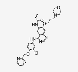 C=CC(=O)Nc1cc2c(Nc3ccc(OCc4ncccn4)c(Cl)c3)ncnc2cc1OCCCN1CCOCC1